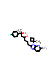 CC(O)(CC(=O)CCCc1nc2ccc(C(F)(F)F)nc2n1C1(C)CCC1)c1ccc(F)cc1